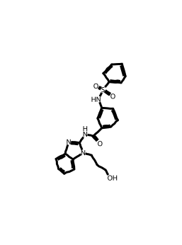 O=C(Nc1nc2ccccc2n1CCCO)c1cccc(NS(=O)(=O)c2ccccc2)c1